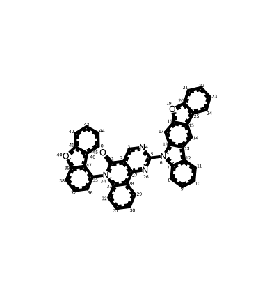 O=c1c2cnc(-n3c4ccccc4c4cc5c(cc43)oc3ccccc35)nc2c2ccccc2n1-c1cccc2oc3ccccc3c12